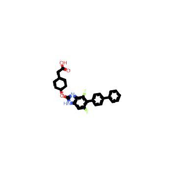 O=C(O)CC1CCC(Oc2nc3c(F)c(-c4ccc(-c5ccccc5)cc4)c(F)cc3[nH]2)CC1